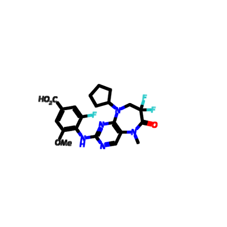 COc1cc(C(=O)O)cc(F)c1Nc1ncc2c(n1)N(C1CCCC1)CC(F)(F)C(=O)N2C